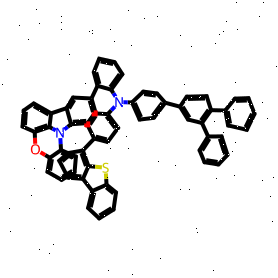 c1ccc(-c2ccc(-c3ccc(N(c4ccc(-c5cccc6c5sc5ccccc56)cc4)c4ccccc4-c4ccc5c(c4)c4cccc6c4n5-c4ccccc4O6)cc3)cc2-c2ccccc2)cc1